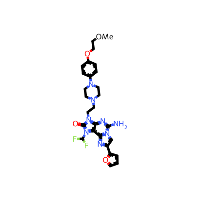 COCCOc1ccc(N2CCN(CCn3c(=O)n(C(F)F)c4c3nc(N)n3cc(-c5ccco5)nc43)CC2)cc1